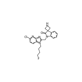 O=C1N(Cc2nc3nc(Cl)ccc3n2CCCCF)c2ccccc2C12CNC2